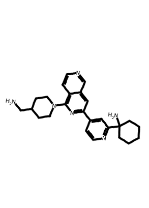 NCC1CCN(c2nc(-c3ccnc(C4(N)CCCCC4)c3)cc3cnccc23)CC1